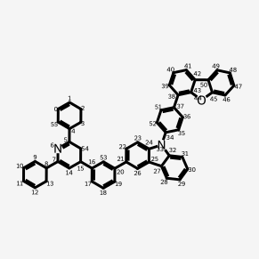 C1=CCCC(C2=NC(C3C=CC=CC3)=CC(c3cccc(-c4ccc5c(c4)c4ccccc4n5-c4ccc(-c5cccc6c5oc5ccccc56)cc4)c3)C2)=C1